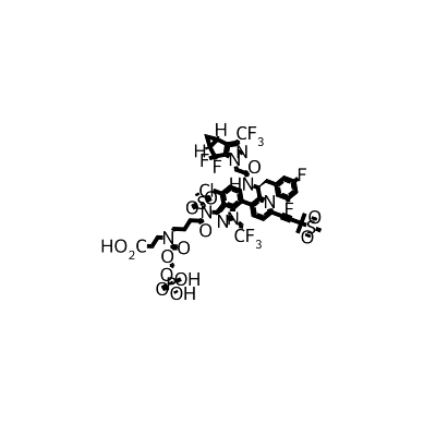 CC(C)(C#Cc1ccc(-c2ccc(Cl)c3c(N(C(=O)CCCN(CCC(=O)O)C(=O)OCOP(=O)(O)O)S(C)(=O)=O)nn(CC(F)(F)F)c23)c([C@H](Cc2cc(F)cc(F)c2)NC(=O)Cn2nc(C(F)(F)F)c3c2C(F)(F)[C@@H]2C[C@H]32)n1)S(C)(=O)=O